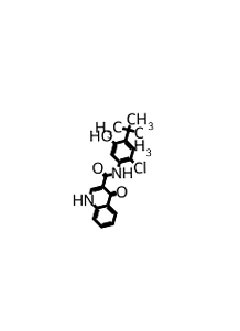 CC(C)(C)c1cc(Cl)c(NC(=O)c2c[nH]c3ccccc3c2=O)cc1O